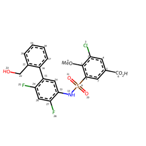 COc1c(Cl)cc(C(=O)O)cc1S(=O)(=O)Nc1cc(-c2ccccc2CO)c(F)cc1F